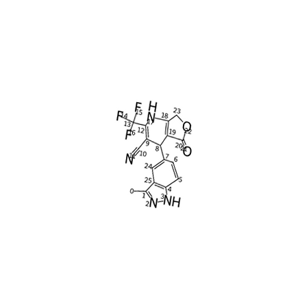 Cc1n[nH]c2ccc(C3C(C#N)=C(C(F)(F)F)NC4=C3C(=O)OC4)cc12